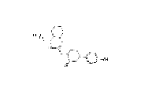 N#Cc1ccc(N2CCN(CC(=O)NC(CC(=O)O)C3CCCCC3)C(=O)C2)cc1